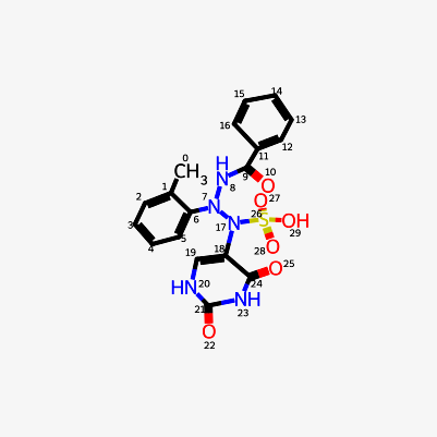 Cc1ccccc1N(NC(=O)c1ccccc1)N(c1c[nH]c(=O)[nH]c1=O)S(=O)(=O)O